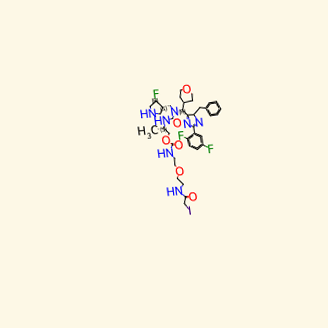 C[C@@H](COC(=O)NCCOCCNC(=O)CI)NC(=O)N(C[C@@H]1CNC[C@@H]1F)[C@@H](C1=NC(c2cc(F)ccc2F)=NC1Cc1ccccc1)C1CCOCC1